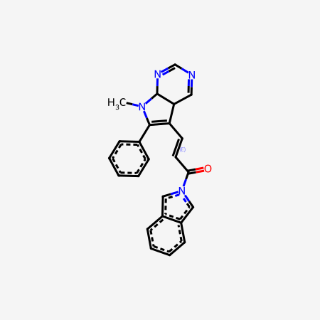 CN1C(c2ccccc2)=C(/C=C/C(=O)n2cc3ccccc3c2)C2C=NC=NC21